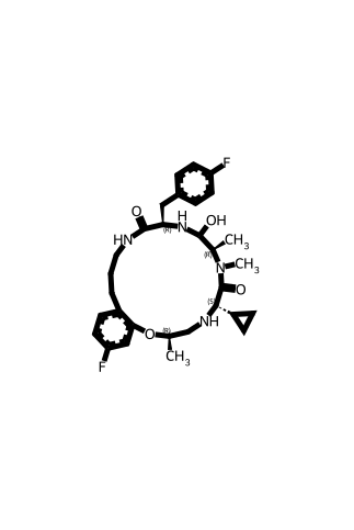 C[C@@H]1CN[C@@H](C2CC2)C(=O)N(C)[C@H](C)C(O)N[C@H](Cc2ccc(F)cc2)C(=O)NCCCc2ccc(F)cc2O1